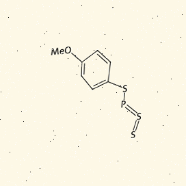 COc1ccc(SP=S=S)cc1